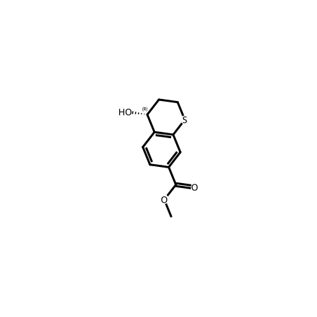 COC(=O)c1ccc2c(c1)SCC[C@H]2O